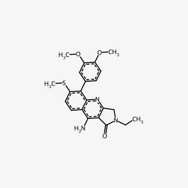 CCN1Cc2nc3c(-c4ccc(OC)c(OC)c4)c(SC)ccc3c(N)c2C1=O